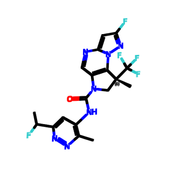 Cc1nnc(C(C)F)cc1NC(=O)N1C[C@@](C)(C(F)(F)F)c2c1cnc1cc(F)nn21